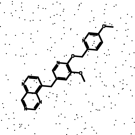 COc1ccc(COc2ncc(Cc3ccnc4cncnc34)cc2OC)nc1